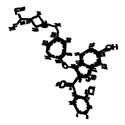 O=C(c1ccccc1Cl)c1sc2cc(O)ccc2c1Oc1ccc(CN2CC(C(F)F)C2)cc1